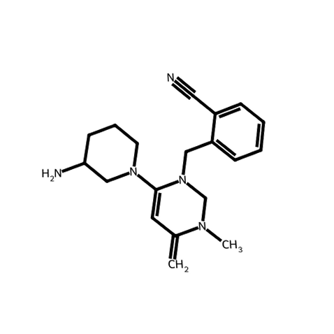 C=C1C=C(N2CCCC(N)C2)N(Cc2ccccc2C#N)CN1C